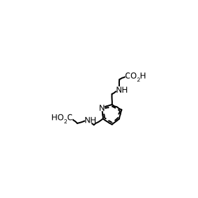 O=C(O)CNCc1cccc(CNCC(=O)O)n1